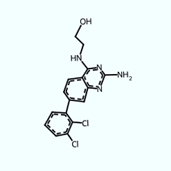 Nc1nc(NCCO)c2ccc(-c3cccc(Cl)c3Cl)cc2n1